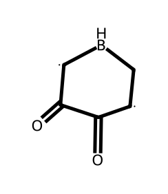 O=C1[CH]BC[CH]C1=O